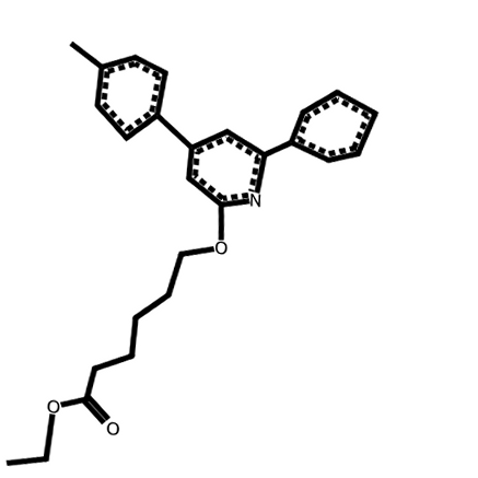 CCOC(=O)CCCCCOc1cc(-c2ccc(C)cc2)cc(-c2ccccc2)n1